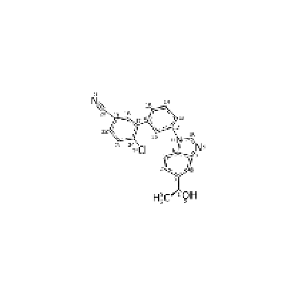 C[C@H](O)c1ccc2c(c1)ncn2-c1cccc(-c2cc(C#N)ccc2Cl)c1